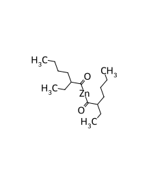 CCCCC(CC)[C](=O)[Zn][C](=O)C(CC)CCCC